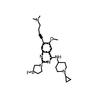 COc1cc2c(NC3CCN(C4CC4)CC3)nc(N3CC[C@@H](F)C3)nc2cc1C#CCCN(C)C